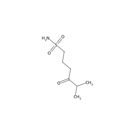 CC(C)C(=O)CCCS(N)(=O)=O